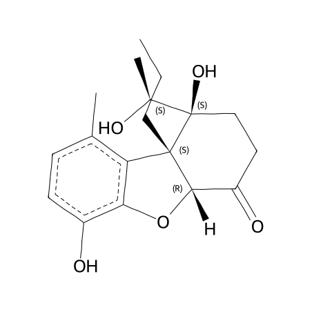 CCC[C@]12c3c(C)ccc(O)c3O[C@H]1C(=O)CC[C@@]2(O)[C@H](C)O